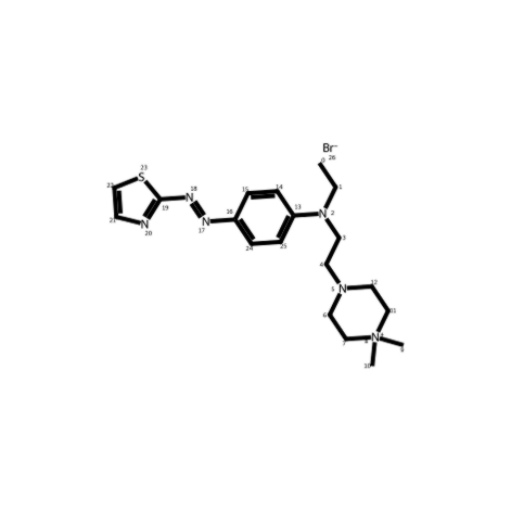 CCN(CCN1CC[N+](C)(C)CC1)c1ccc(N=Nc2nccs2)cc1.[Br-]